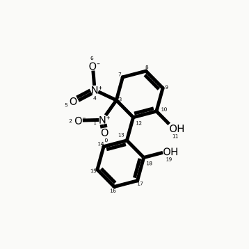 O=[N+]([O-])C1([N+](=O)[O-])CC=CC(O)=C1c1ccccc1O